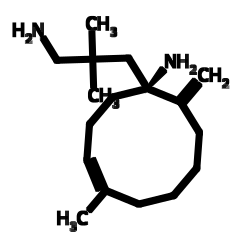 C=C1CCCC/C(C)=C\CC[C@]1(N)CC(C)(C)CN